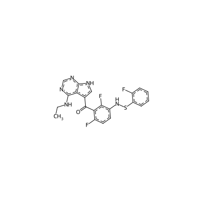 CCNc1ncnc2[nH]cc(C(=O)c3c(F)ccc(NSc4ccccc4F)c3F)c12